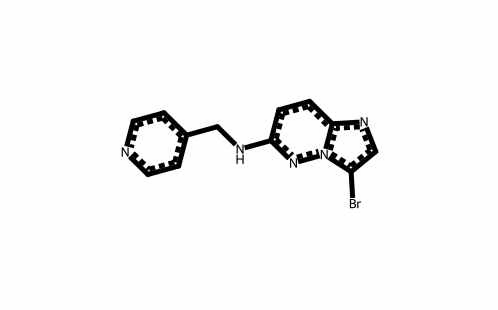 Brc1cnc2ccc(NCc3ccncc3)nn12